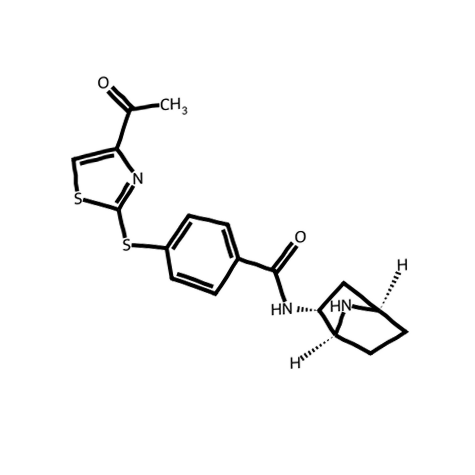 CC(=O)c1csc(Sc2ccc(C(=O)N[C@@H]3C[C@H]4CC[C@@H]3N4)cc2)n1